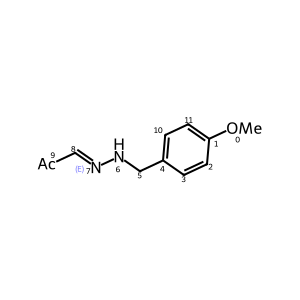 COc1ccc(CN/N=C/C(C)=O)cc1